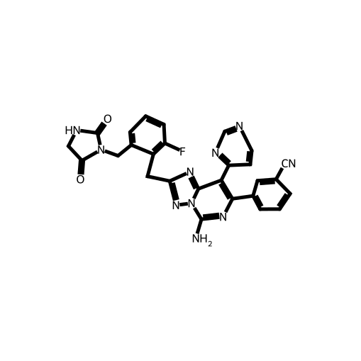 N#Cc1cccc(-c2nc(N)n3nc(Cc4c(F)cccc4CN4C(=O)CNC4=O)nc3c2-c2ccncn2)c1